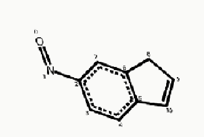 O=Nc1ccc2c(c1)CC=C2